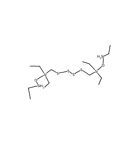 CC[SiH2]O[Si](CC)(CC)CSSSSC[Si](CC)(CC)O[SiH2]CC